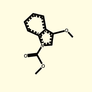 COC(=O)n1cc(OC)c2ccccc21